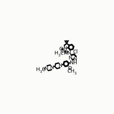 COc1cc(N2CCC(N3CCN(C)CC3)CC2)ccc1Nc1ncc(Cl)c(Nc2cccc3c2N(S(C)(=O)=O)CC32CC2)n1